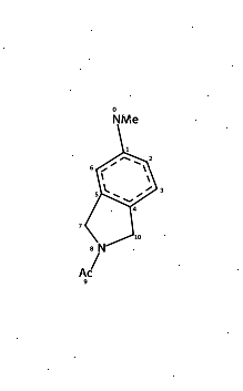 CNc1ccc2c(c1)CN(C(C)=O)C2